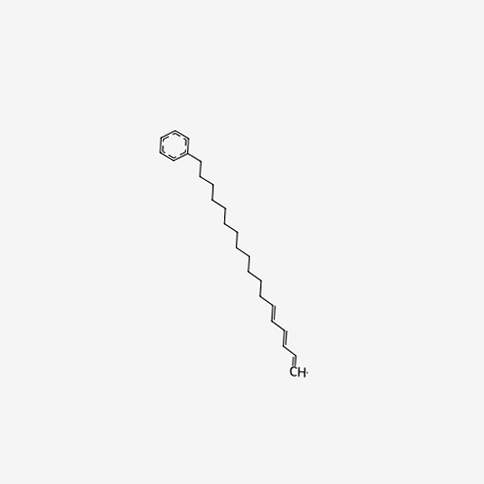 [CH]=CC=CC=CCCCCCCCCCCCCc1ccccc1